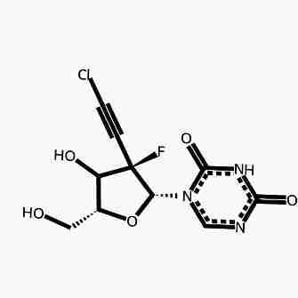 O=c1ncn([C@@H]2O[C@H](CO)C(O)[C@]2(F)C#CCl)c(=O)[nH]1